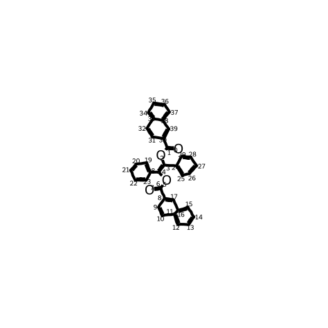 O=C(O/C(=C(/OC(=O)c1ccc2ccccc2c1)c1ccccc1)c1ccccc1)c1ccc2ccccc2c1